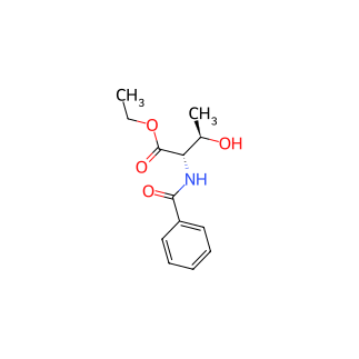 CCOC(=O)[C@@H](NC(=O)c1ccccc1)[C@@H](C)O